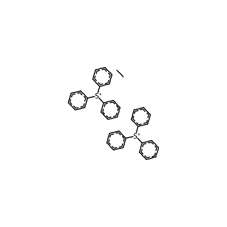 CC.c1ccc([S+](c2ccccc2)c2ccccc2)cc1.c1ccc([S+](c2ccccc2)c2ccccc2)cc1